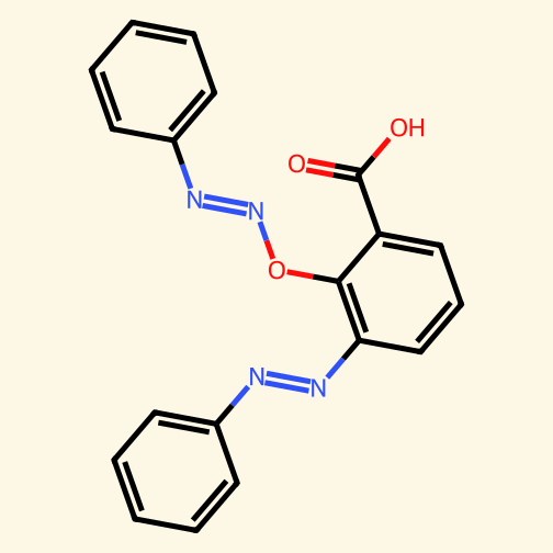 O=C(O)c1cccc(N=Nc2ccccc2)c1ON=Nc1ccccc1